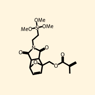 C=C(C)C(=O)OCC12C=CC(O1)C1C(=O)N(CC[Si](OC)(OC)OC)C(=O)C12